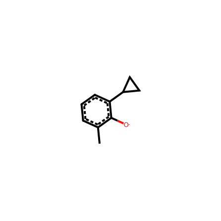 Cc1cccc(C2CC2)c1[O]